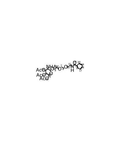 CC(=O)NC1C(OCCOCCOCCNC(=O)c2ccccc2)OC(COC(C)=O)C(OC(C)=O)C1OC(C)=O